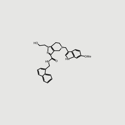 COc1ccc2c(CN3CCc4c(c(C(=O)NCc5cccc6ccccc56)nn4CCO)C3)c[nH]c2c1